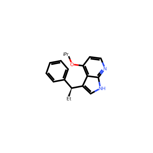 [CH2]C[C@@H](c1ccccc1)c1c[nH]c2nccc(OC(C)C)c12